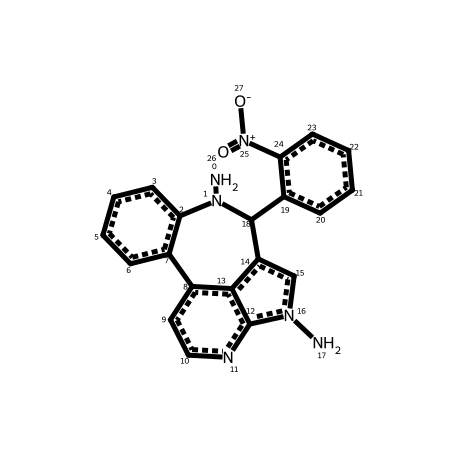 NN1c2ccccc2-c2ccnc3c2c(cn3N)C1c1ccccc1[N+](=O)[O-]